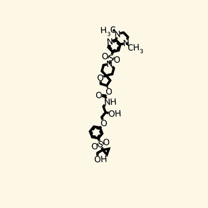 CN1CCN(C)c2ncc(S(=O)(=O)N3CCC4(CC3)C[C@@H](OC(=O)NCC(O)COc3cccc(S(=O)(=O)C5(CO)CC5)c3)CO4)cc21